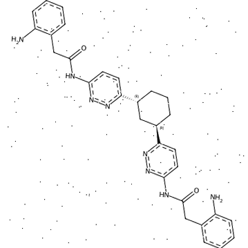 Nc1ccccc1CC(=O)Nc1ccc([C@@H]2CCC[C@@H](c3ccc(NC(=O)Cc4ccccc4N)nn3)C2)nn1